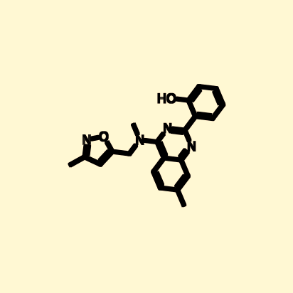 Cc1ccc2c(N(C)Cc3cc(C)no3)nc(-c3ccccc3O)nc2c1